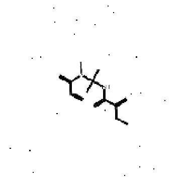 C=CC(=C)P(C)C(C)(C)NC(=C)C(=C)CC